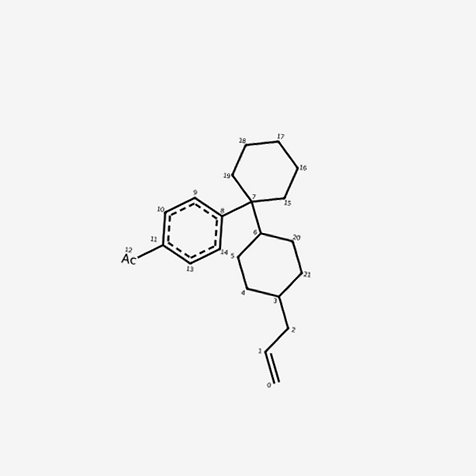 C=CCC1CCC(C2(c3ccc(C(C)=O)cc3)CCCCC2)CC1